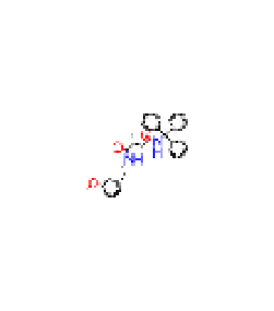 COc1cccc(CCNC(=O)[C@H](C)CC(=O)NC(c2ccccc2)(c2ccccc2)c2ccccc2)c1